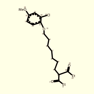 CCC(=O)C(CCCCCCCOc1ccc(OC)cc1Cl)C(=O)CC